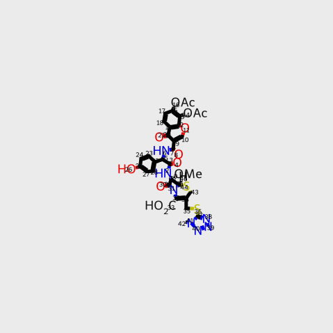 CO[C@@]1(NC(=O)C(NC(=O)c2coc3c(OC(C)=O)c(OC(C)=O)ccc3c2=O)c2ccc(O)cc2)C(=O)N2C(C(=O)O)=C(CSc3nnnn3C)CS[C@H]21